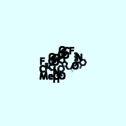 COC(=O)C1(Nc2cccc(Cl)c2)CCC2(CC1)c1cc(OS(=O)(=O)C(F)(F)F)c(OS(=O)(=O)C(F)(F)F)cc1CC2C[C@@H](C)COc1ccnc2c1[C@H](C)CCC2